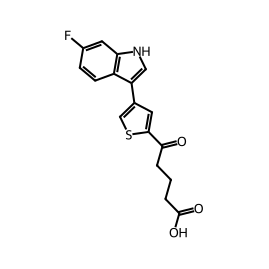 O=C(O)CCCC(=O)c1cc(-c2c[nH]c3cc(F)ccc23)cs1